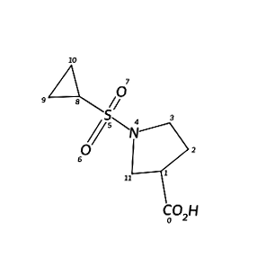 O=C(O)C1CCN(S(=O)(=O)C2CC2)C1